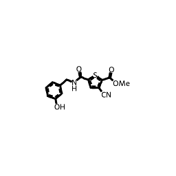 COC(=O)c1sc(C(=O)NCc2cccc(O)c2)cc1C#N